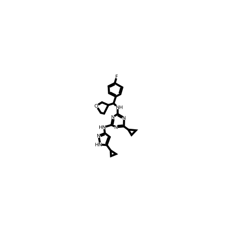 Fc1ccc(C(Nc2nc(Nc3cc(C4CC4)[nH]n3)nc(C3CC3)n2)C2CCOC2)cc1